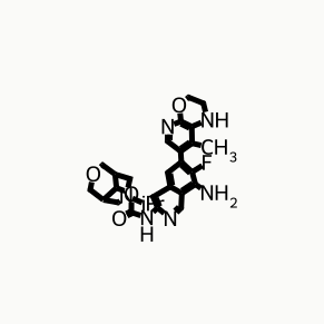 Cc1c(-c2cc3cc(NC(=O)OC4C5COCC4CN(C(C)C)C5)ncc3c(N)c2F)cnc2c1NCCO2